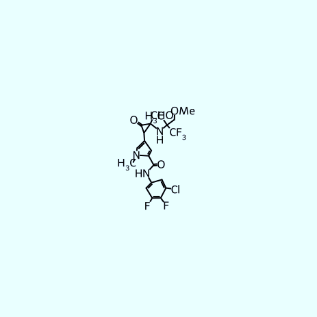 COCC(C)(NC1(C=O)C(=O)C1c1cc(C(=O)Nc2cc(F)c(F)c(Cl)c2)n(C)c1)C(F)(F)F